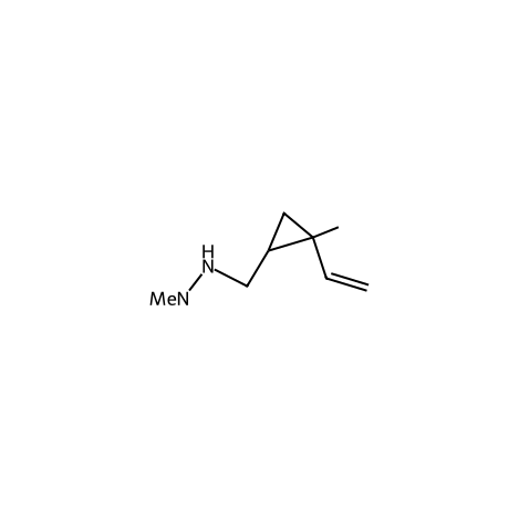 C=CC1(C)CC1CNNC